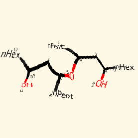 CCCCCCC(O)CC(CCCCC)OC(CCCCC)CC(O)CCCCCC